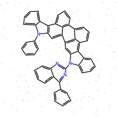 c1ccc(-c2nc(-n3c4ccccc4c4c5cccc6c7cccc8c7c(cc7c8c8ccccc8n7-c7ccccc7)c(cc43)c65)nc3ccccc23)cc1